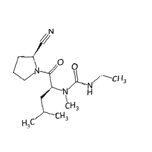 CCNC(=O)N(C)[C@@H](CC(C)C)C(=O)N1CCC[C@H]1C#N